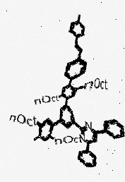 CCCCCCCCc1cc(-c2cc(-c3nc(-c4ccccc4)cc(-c4ccccc4)n3)cc(-c3cc(CCCCCCCC)c(-c4ccc(/C=C/c5ccc(C)cc5)cc4)cc3CCCCCCCC)c2)c(CCCCCCCC)cc1C